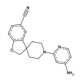 N#Cc1ccc2c(c1)C1(CCN(c3cc(N)ccn3)CC1)CO2